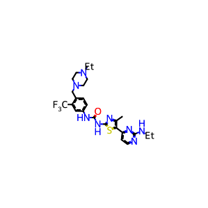 CCNc1nccc(-c2sc(NC(=O)Nc3ccc(CN4CCN(CC)CC4)c(C(F)(F)F)c3)nc2C)n1